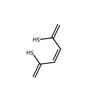 C=C(S)/C=C\C(=C)S